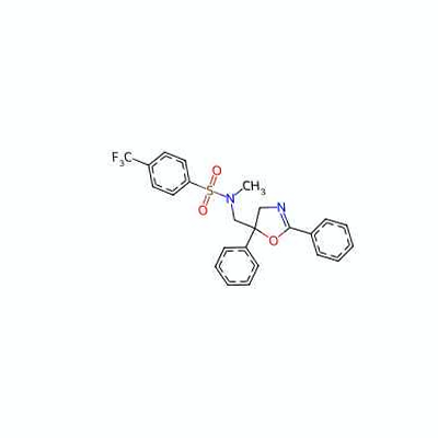 CN(CC1(c2ccccc2)CN=C(c2ccccc2)O1)S(=O)(=O)c1ccc(C(F)(F)F)cc1